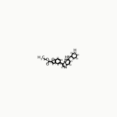 CCOC(=O)c1cc2cc(-c3cnc4ccc(NC5CCCNC5)nn34)ccc2o1